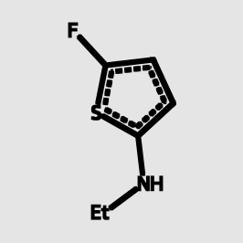 CCNc1ccc(F)s1